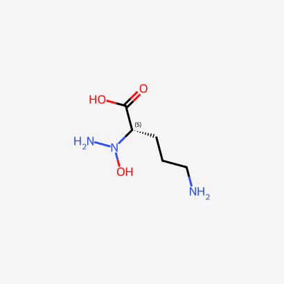 NCCC[C@@H](C(=O)O)N(N)O